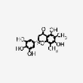 Cc1c(O)c(C)c2c(c1O)C(=O)C[C@@H](c1cc(O)c(O)c(O)c1)O2